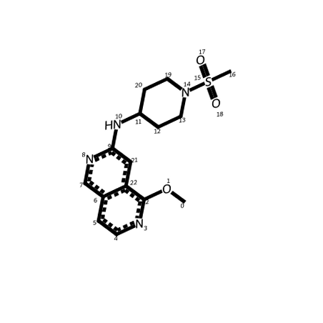 COc1nccc2cnc(NC3CCN(S(C)(=O)=O)CC3)cc12